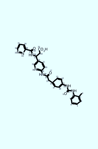 Cc1ccccc1NC(=O)Nc1ccc(CC(=O)Nc2ccc(C(CC(=O)O)NC(=O)c3cccnn3)cn2)cc1